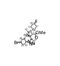 COC(=O)c1c(-c2ccc(F)cc2)c(C)n2c1-c1cnnn1-c1ccc(Br)cc1C2